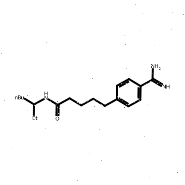 CCCCC(CC)NC(=O)CCCCc1ccc(C(=N)N)cc1